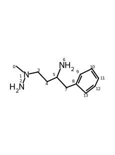 CN(N)CCC(N)Cc1ccccc1